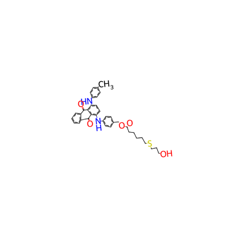 Cc1ccc(Nc2ccc(Nc3ccc(COC(=O)CCCCCSCCCO)cc3)c3c2C(=O)c2ccccc2C3=O)cc1